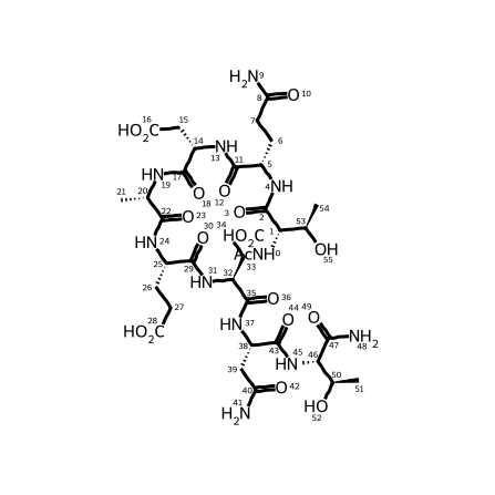 CC(=O)N[C@H](C(=O)N[C@@H](CCC(N)=O)C(=O)N[C@@H](CC(=O)O)C(=O)N[C@@H](C)C(=O)N[C@@H](CCC(=O)O)C(=O)N[C@@H](CC(=O)O)C(=O)N[C@@H](CC(N)=O)C(=O)N[C@H](C(N)=O)[C@@H](C)O)[C@@H](C)O